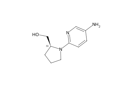 Nc1ccc(N2CCC[C@H]2CO)nc1